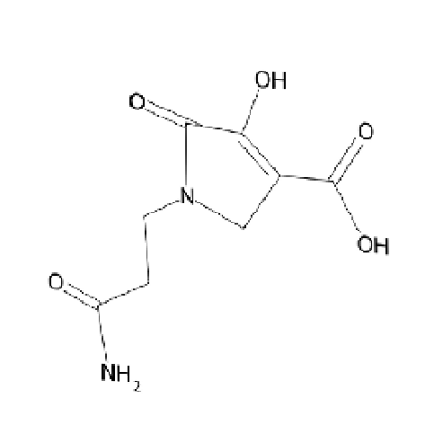 NC(=O)CCN1CC(C(=O)O)=C(O)C1=O